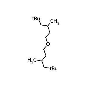 CC(CCOCCC(C)CC(C)(C)C)CC(C)(C)C